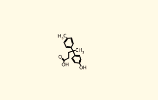 Cc1ccc(C(C)(CCC(=O)O)c2ccc(O)cc2)cc1